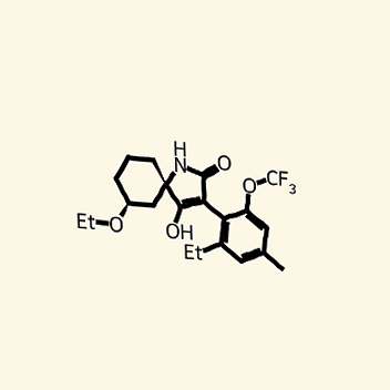 CCO[C@H]1CCC[C@@]2(C1)NC(=O)C(c1c(CC)cc(C)cc1OC(F)(F)F)=C2O